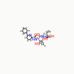 CC(C)[C@H](CNC(=O)[C@@H](NC(=O)c1cccc(-c2ccccc2)n1)[C@@H](C)O)B(O)O